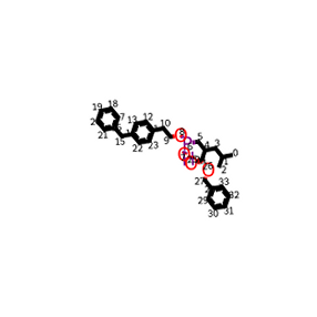 CC(C)CC(C[PH](=O)OCCc1ccc(Cc2ccccc2)cc1)C(=O)OCc1ccccc1